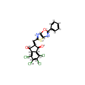 O=C1C(=Cc2nc3oc(-c4ccccc4)nc3s2)C(=O)c2c(Cl)c(Cl)c(Cl)c(Cl)c21